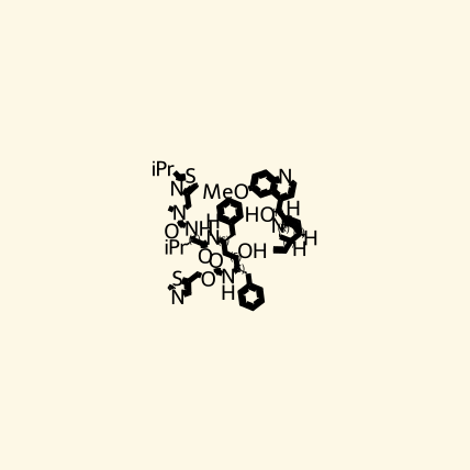 C=C[C@H]1C[N@]2CC[C@H]1C[C@H]2[C@H](O)c1ccnc2ccc(OC)cc12.CC(C)c1nc(CN(C)C(=O)N[C@H](C(=O)N[C@@H](Cc2ccccc2)C[C@H](O)[C@H](Cc2ccccc2)NC(=O)OCc2cncs2)C(C)C)cs1